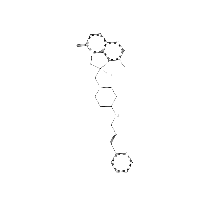 O=c1ccc2ncc(F)c3c2n1C[C@@]3(O)CN1CCC(NC/C=C/c2ccccn2)CC1